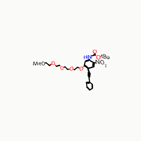 COCCOCCOCCOCCOc1cc(NC(=O)OC(C)(C)C)c([N+](=O)[O-])cc1C#Cc1ccccc1